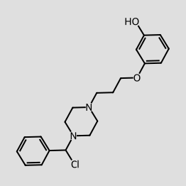 Oc1cccc(OCCCN2CCN(C(Cl)c3ccccc3)CC2)c1